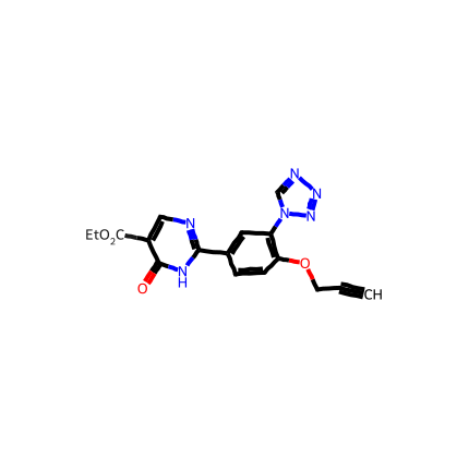 C#CCOc1ccc(-c2ncc(C(=O)OCC)c(=O)[nH]2)cc1-n1cnnn1